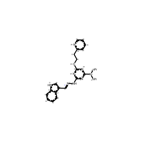 CCCN(CCC)c1nc(N/N=C/c2c[nH]c3ccccc23)nc(OCCc2ccccn2)n1